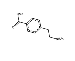 CNC(=O)c1ccc(CCNC(C)=O)cc1